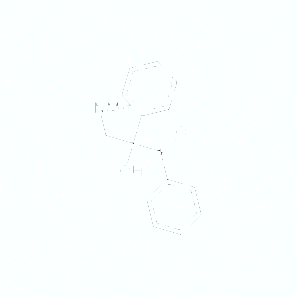 CNCC(O)(C(=O)c1ccccc1)c1ccccc1